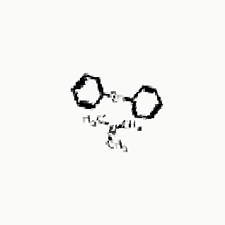 [CH3][Al]([CH3])[CH3].c1cc[c]([Zn][c]2ccccc2)cc1